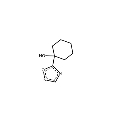 OC1(c2ncno2)CCCCC1